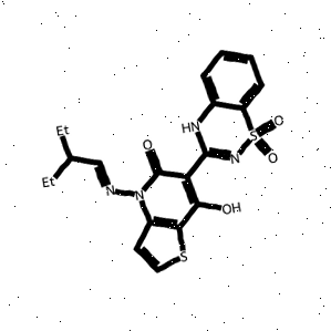 CCC(C=Nn1c(=O)c(C2=NS(=O)(=O)c3ccccc3N2)c(O)c2sccc21)CC